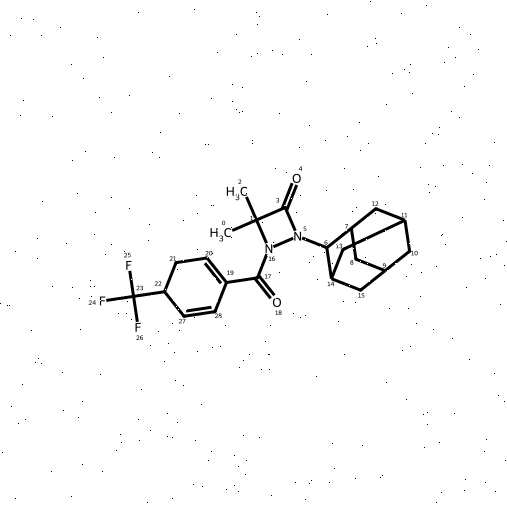 CC1(C)C(=O)N(C2C3CC4CC(C3)CC2C4)N1C(=O)C1=CCC(C(F)(F)F)C=C1